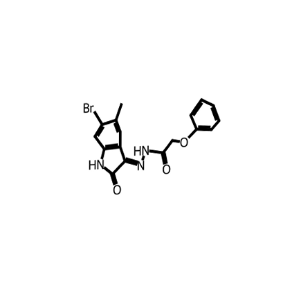 Cc1cc2c(cc1Br)NC(=O)/C2=N/NC(=O)COc1ccccc1